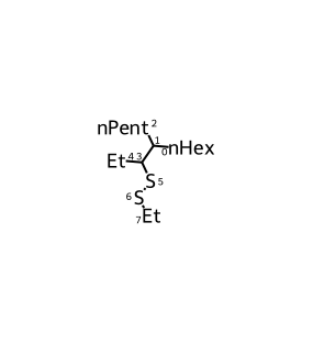 CCCCCCC(CCCCC)C(CC)SSCC